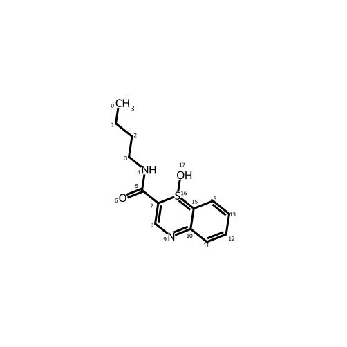 CCCCNC(=O)C1=CN=c2ccccc2=S1O